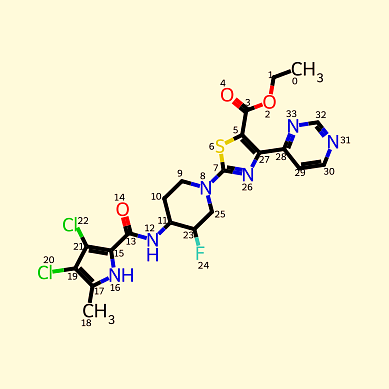 CCOC(=O)c1sc(N2CCC(NC(=O)c3[nH]c(C)c(Cl)c3Cl)C(F)C2)nc1-c1ccncn1